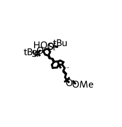 COCOC(C)(C)C/C=C/[C@@H](C)C1CCC2/C(=C/C=C3C[C@@H](O[Si](C)(C)C(C)(C)C)C(O)[C@H](O[Si](C)(C)C(C)(C)C)C3)CCCC21C